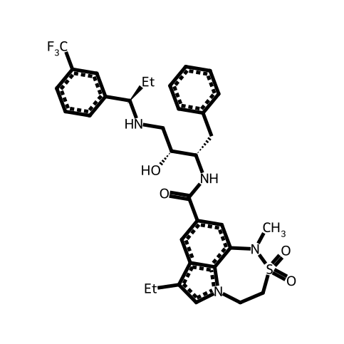 CCc1cn2c3c(cc(C(=O)N[C@@H](Cc4ccccc4)[C@H](O)CN[C@H](CC)c4cccc(C(F)(F)F)c4)cc13)N(C)S(=O)(=O)CC2